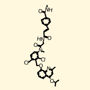 CNC(=O)c1ccc(C=CC(=O)NCC(=O)N(C)c2ccc(Cl)c(COc3cccc4c(OC(C)C)cc(C)nc34)c2Cl)cc1